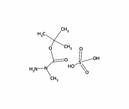 CN(N)C(=O)OC(C)(C)C.O=S(=O)(O)O